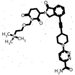 C[Si](C)(C)CCOCN1C(=O)CCC(N2Cc3c(C#CC4CCN(c5ccc(C(N)=O)nn5)CC4)cccc3C2=O)C1=O